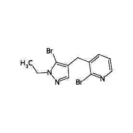 CCn1ncc(Cc2cccnc2Br)c1Br